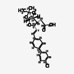 CC1(C)O[C@H]2O[C@@H](C=Cc3ccc(-c4ccc(Cl)cc4)cc3)[C@@H](CC(=O)O)[C@H]2O1